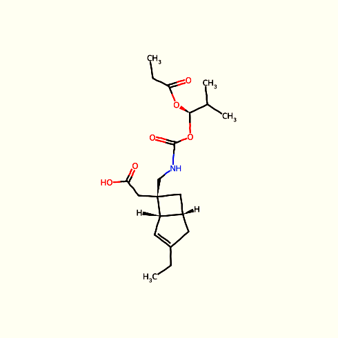 CCC(=O)O[C@H](OC(=O)NC[C@@]1(CC(=O)O)C[C@@H]2CC(CC)=C[C@@H]21)C(C)C